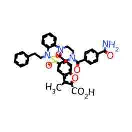 Cc1c(C(=O)O)oc2ccc(S(=O)(=O)N(CCc3ccccc3)c3ccccc3N3CCN(C(=O)c4ccc(C(N)=O)cc4)CC3)cc12